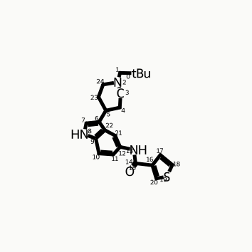 CC(C)(C)CN1CCC(c2c[nH]c3ccc(NC(=O)c4ccsc4)cc23)CC1